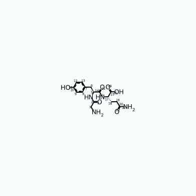 NCC(=O)N[C@@H](Cc1ccc(O)cc1)C(=O)N[C@@H](CCC(N)=O)C(=O)O